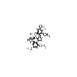 Cc1cc(C)c(N2CCN(c3c(C)cc(C)cc3C)C2OC(C)(C)C)c(C)c1